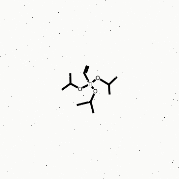 C=[CH][Ti]([O]C(C)C)([O]C(C)C)[O]C(C)C